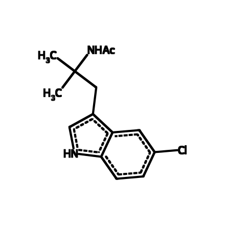 CC(=O)NC(C)(C)Cc1c[nH]c2ccc(Cl)cc12